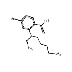 CCCCCC(CC)c1cc(Br)ccc1C(=O)O